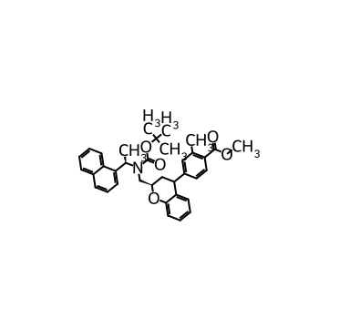 COC(=O)c1ccc(C2C[C@H](CN(C(=O)OC(C)(C)C)[C@H](C)c3cccc4ccccc34)Oc3ccccc32)cc1C